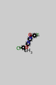 Cc1cc(Cl)ccc1OC1CCN(C2CCN(C(=O)c3ccc(F)cc3)CC2)CC1